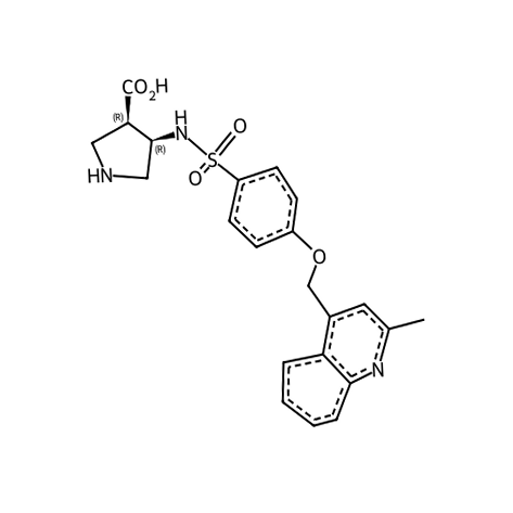 Cc1cc(COc2ccc(S(=O)(=O)N[C@H]3CNC[C@H]3C(=O)O)cc2)c2ccccc2n1